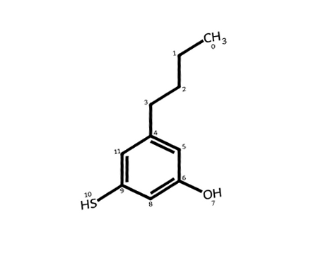 CCCCc1cc(O)cc(S)c1